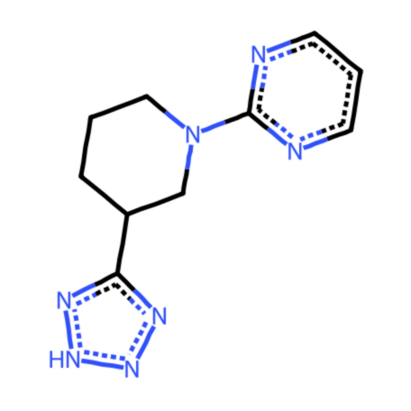 c1cnc(N2CCCC(c3nn[nH]n3)C2)nc1